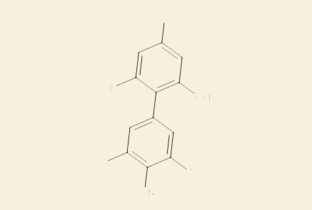 N#Cc1c(F)cc(-c2c(O)cc(O)cc2F)cc1F